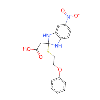 O=C(O)CC1(SCCOc2ccccc2)Nc2ccc([N+](=O)[O-])cc2N1